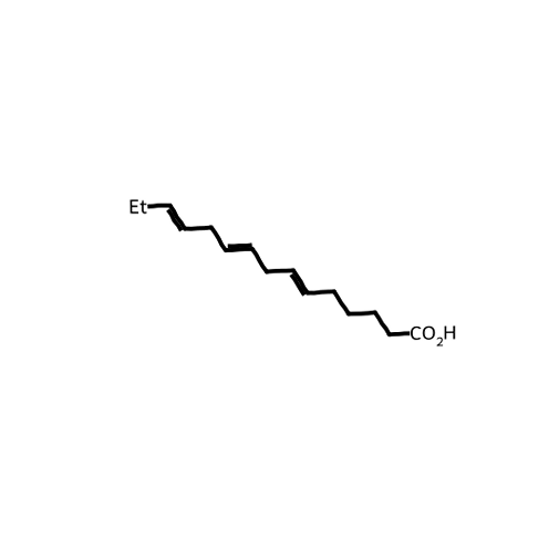 CCC=CCC=CCC=CCCCCC(=O)O